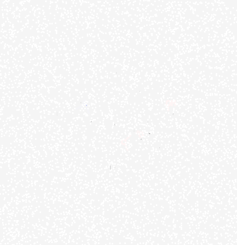 CCOC(=O)C(CCCN(C)C)(Cc1ccccc1O)c1ccccc1